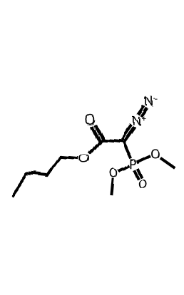 CCCCOC(=O)C(=[N+]=[N-])P(=O)(OC)OC